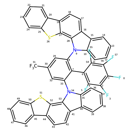 Fc1c(F)c(F)c(-c2c(-n3c4ccccc4c4ccc5c6ccccc6sc5c43)cc(C(F)(F)F)cc2-n2c3ccccc3c3ccc4c5ccccc5sc4c32)c(F)c1F